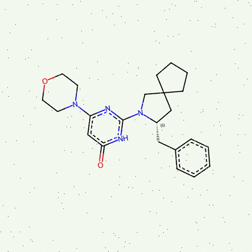 O=c1cc(N2CCOCC2)nc(N2CC3(CCCC3)C[C@@H]2Cc2ccccc2)[nH]1